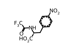 O=C(O)[C@H](Cc1ccc([N+](=O)[O-])cc1)NC(=O)C(F)(F)F